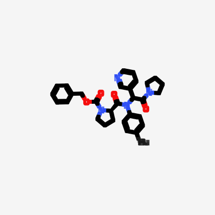 CC(C)(C)c1ccc(N(C(=O)[C@H]2CCCN2C(=O)OCc2ccccc2)C(C(=O)N2CCCC2)c2cccnc2)cc1